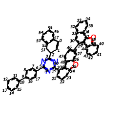 C1=CC(c2nc(-c3ccc(-c4ccccc4)cc3)nc(-c3cccc4oc5cc(-c6cc7ccccc7c7oc8ccccc8c67)ccc5c34)n2)Cc2ccccc21